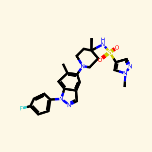 Cc1cc2c(cnn2-c2ccc(F)cc2)cc1N1CCC(C)(NS(=O)(=O)c2cnn(C)c2)CC1